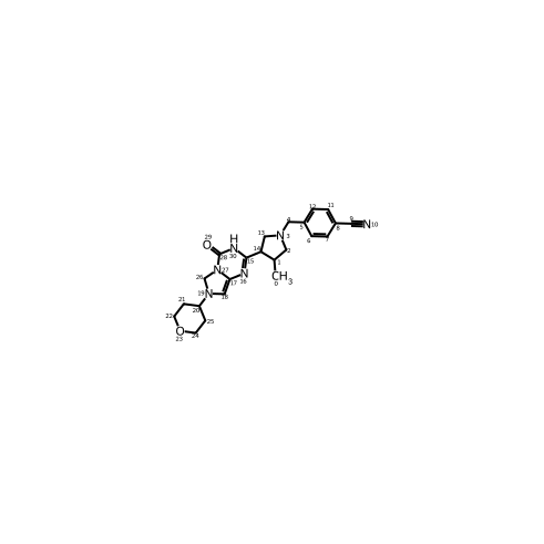 CC1CN(Cc2ccc(C#N)cc2)CC1C1=NC2=CN(C3CCOCC3)CN2C(=O)N1